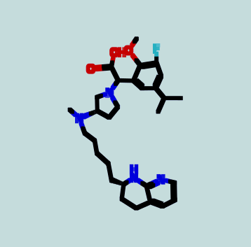 COc1c(F)cc(C(C)C)cc1C(C(=O)O)N1CC[C@@H](N(C)CCCCC[C@@H]2CCc3cccnc3N2)C1